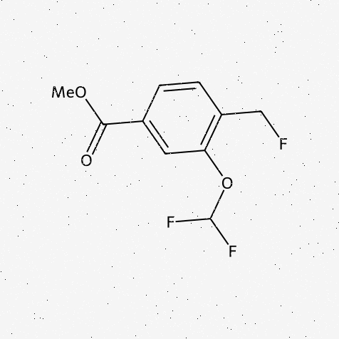 COC(=O)c1ccc(CF)c(OC(F)F)c1